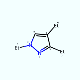 CCc1cn(CC)nc1CC